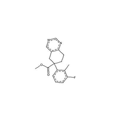 COC(=O)C1(c2cccc(F)c2C)CCc2ncncc2C1